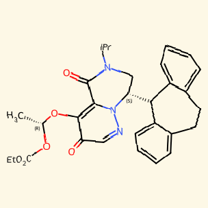 CCOC(=O)O[C@H](C)Oc1c2n(ncc1=O)[C@@H](C1c3ccccc3CCc3ccccc31)CN(C(C)C)C2=O